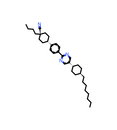 CCCCCCCC[C@H]1CC[C@H](c2cnc(-c3ccc([C@H]4CC[C@@](C#N)(CCCC)CC4)cc3)nc2)CC1